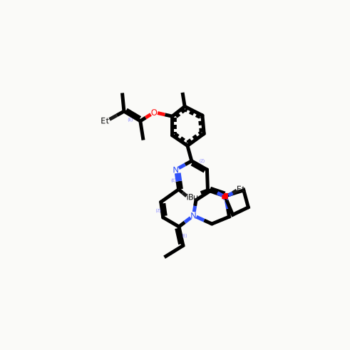 C\C=C(/C=C\C(=N\C(=C/C(C)=C1CCC1)c1ccc(C)c(O/C(C)=C(\C)CC)c1)C(C)CC)N1CCN(CC)CC1